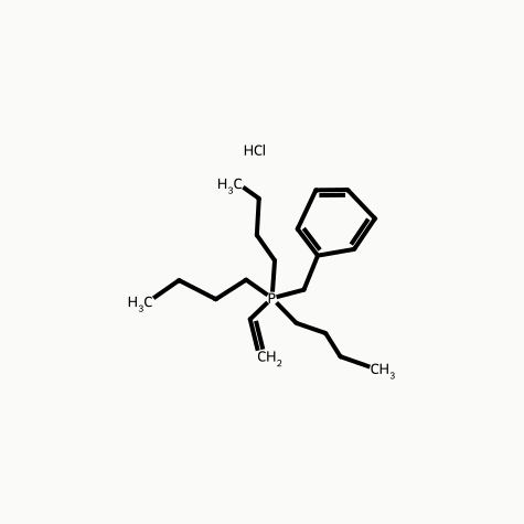 C=CP(CCCC)(CCCC)(CCCC)Cc1ccccc1.Cl